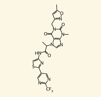 Cc1cc(Cn2c(=O)c3c(ncn3C(C)C(=O)Nc3csc(-c4cnc(C(F)(F)F)nc4)n3)n(C)c2=O)no1